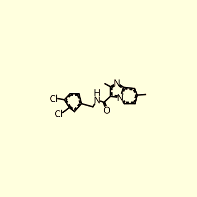 Cc1ccn2c(C(=O)NCc3ccc(Cl)c(Cl)c3)c(C)nc2c1